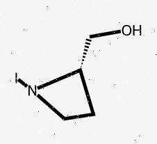 OC[C@@H]1CCN1I